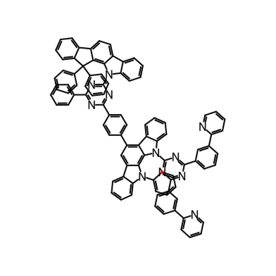 c1ccc(-c2nc(-c3ccc(-c4cc5c6ccccc6n(-c6ccccc6)c5c5c4c4ccccc4n5-c4nc(-c5cccc(-c6ccccn6)c5)nc(-c5cccc(-c6ccccn6)c5)n4)cc3)nc(-n3c4ccccc4c4ccc5c(c43)C(c3ccccc3)(c3ccccc3)c3ccccc3-5)n2)cc1